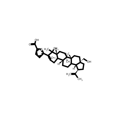 C=C(C)[C@@H]1CC[C@]2(CO)CC[C@]3(C)C(CC[C@@H]4[C@@]5(C)CC=C(c6ccc(C(=O)O)s6)C(C)(C)[C@@H]5CC[C@]43C)[C@@H]12